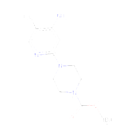 CC(C)(C)OC(=O)N1CCN(c2cc(N)c(C(F)(F)F)cn2)CC1